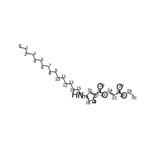 CCCCCCCCCCCCCCCCNc1csc(C(=O)OC=CC(=O)OCC)c1